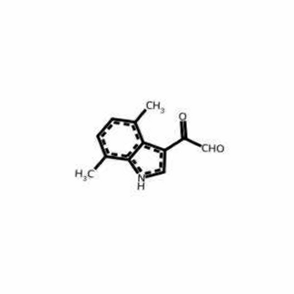 Cc1ccc(C)c2c(C(=O)C=O)c[nH]c12